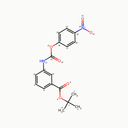 CC(C)(C)OC(=O)c1cccc(NC(=O)Oc2ccc([N+](=O)[O-])cc2)c1